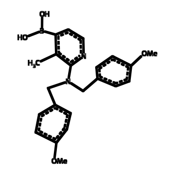 COc1ccc(CN(Cc2ccc(OC)cc2)c2nccc(B(O)O)c2C)cc1